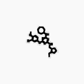 CCN1CCCC1CNc1nc(NC2CCCCCC2)nc(Oc2ccc(OC)c(Br)c2)n1